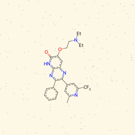 CCN(CC)CCOc1cc2nc(-c3cc(C)nc(C(F)(F)F)c3)c(-c3ccccc3)nc2[nH]c1=O